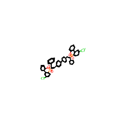 O=P1(/C(=C/c2ccc(-c3ccc(/C=C(\c4ccccc4)P4(=O)Oc5ccccc5-c5cc(Cl)ccc54)cc3)cc2)c2ccccc2)Oc2ccccc2-c2cc(Cl)ccc21